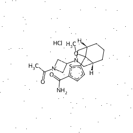 COC1(c2ccc(C(N)=O)s2)[C@@H]2CCC[C@H]1CN(C1CN(C(C)=O)C1)C2.Cl